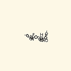 Cc1ccc(-c2nc(-c3ccc(CC(NC(=O)c4cccc(N5CCC(C)CC5)c4)OC=O)cc3F)no2)cc1